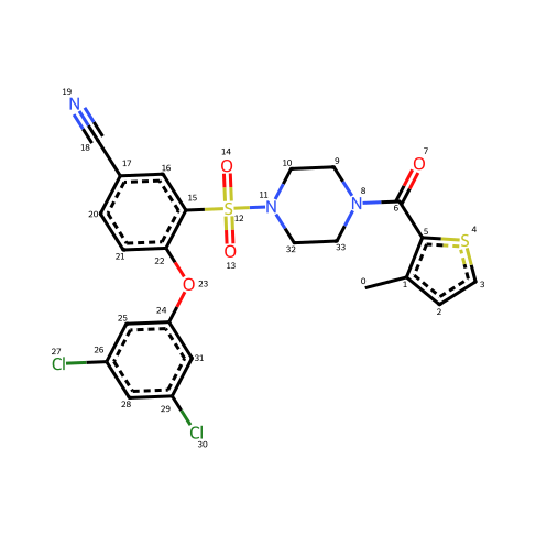 Cc1ccsc1C(=O)N1CCN(S(=O)(=O)c2cc(C#N)ccc2Oc2cc(Cl)cc(Cl)c2)CC1